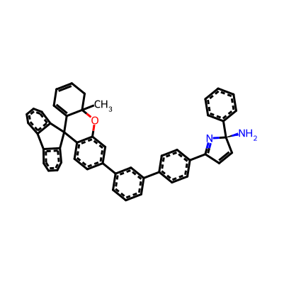 CC12CC=CC=C1C1(c3ccc(-c4cccc(-c5ccc(C6=N[C@](N)(c7ccccc7)C=C6)cc5)c4)cc3O2)c2ccccc2-c2ccccc21